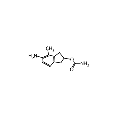 Cc1c(N)ccc2c1CC(OC(N)=O)C2